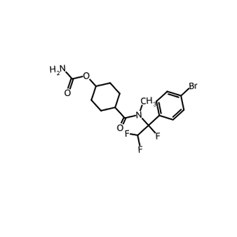 CN(C(=O)C1CCC(OC(N)=O)CC1)C(F)(c1ccc(Br)cc1)C(F)F